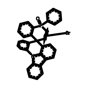 O=P1(c2ccccc2)c2ccccc2C2(c3ccccc3-n3c4ccccc4c4cccc2c43)c2ccc(Br)cc21